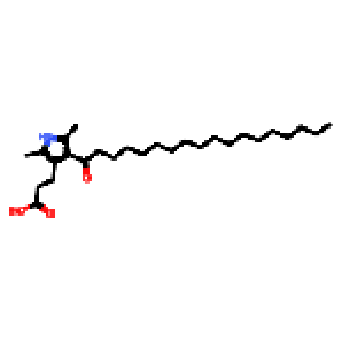 CCCCCCCCCCCCCCCCCC(=O)c1c(C)[nH]c(C)c1CCC(=O)O